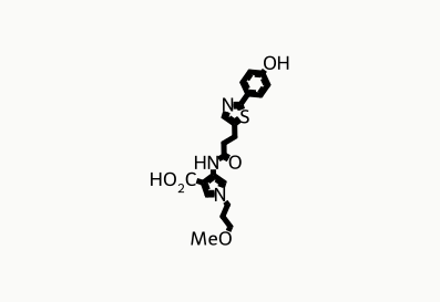 COCCCn1cc(NC(=O)CCc2cnc(-c3ccc(O)cc3)s2)c(C(=O)O)c1